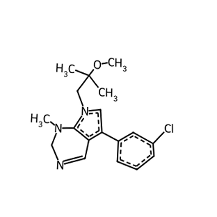 COC(C)(C)Cn1cc(-c2cccc(Cl)c2)c2c1N(C)CN=C2